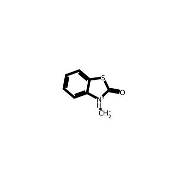 [CH2-][NH+]1C(=O)Sc2ccccc21